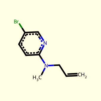 C=CCN(C)c1ccc(Br)cn1